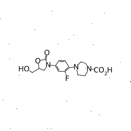 O=C(O)N1CCN(c2ccc(N3CC(CO)OC3=O)cc2F)CC1